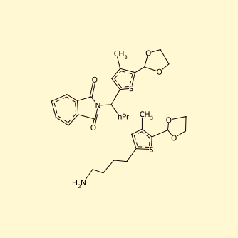 CCCC(c1cc(C)c(C2OCCO2)s1)N1C(=O)c2ccccc2C1=O.Cc1cc(CCCCN)sc1C1OCCO1